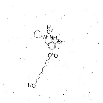 CCN(Cc1cc(C(=O)OCCCCCCCCCO)cc(Br)c1N)C1CCCCC1